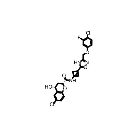 O=C(NC12CC(C3NC(COc4ccc(Cl)c(F)c4)=NO3)(C1)C2)[C@H]1C[C@@H](O)c2cc(Cl)ccc2O1